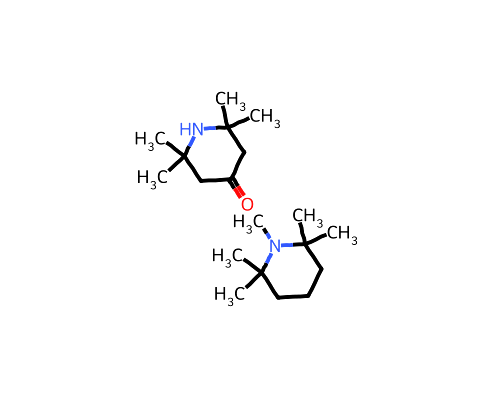 CC1(C)CC(=O)CC(C)(C)N1.CN1C(C)(C)CCCC1(C)C